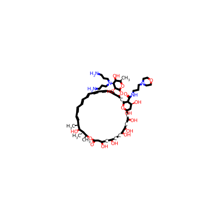 C[C@@H]1OC(=O)CC(O)CC(O)CCC(O)C(O)CC(O)CC2(O)C[C@H](O)C(C(=O)NCCCN3CCOCC3)C(CC(OC3O[C@H](C)C(O)[C@H](N(CCCN)CCCN)[C@@H]3O)/C=C/C=C/C=C/C=C/C=C/C=C/C=C/[C@H](C)C(O)[C@H]1C)O2